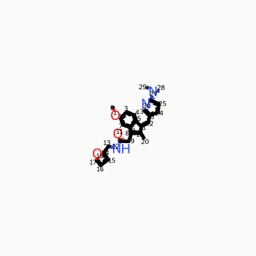 COc1ccc2c(c1)C(CC(=O)NCc1ccco1)=C(C)/C2=C/c1ccc(N(C)C)nc1